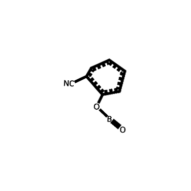 N#Cc1ccccc1OB=O